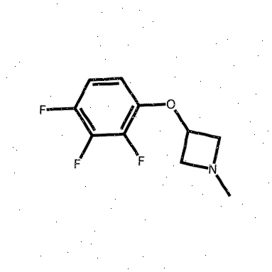 CN1CC(Oc2ccc(F)c(F)c2F)C1